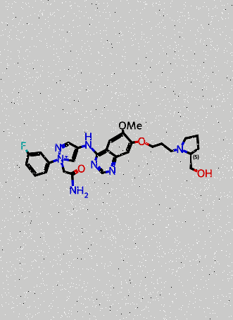 COc1cc2c(NC3=C[N+](CC(N)=O)(c4cccc(F)c4)N=C3)ncnc2cc1OCCCN1CCC[C@H]1CO